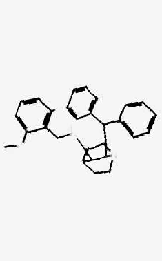 COc1cccc(O)c1CNC1C2CCN(CC2)C1C(c1ccccc1)c1ccccc1